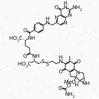 CO[C@@]12[C@H](COC(N)=O)C3=C(C(=O)C(C)=C(NCCSSC[C@H](NC(=O)CC[C@@H](NC(=O)c4ccc(NCc5cnc6nc(N)[nH]c(=O)c6n5)cc4)C(=O)O)C(=O)O)C3=O)N1CC1N[C@@H]12